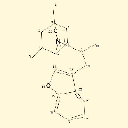 CC1CC2(C)C=CC1N(C(C)Cc1coc3ccccc13)C2